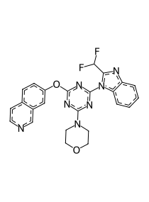 FC(F)c1nc2ccccc2n1-c1nc(Oc2ccc3ccncc3c2)nc(N2CCOCC2)n1